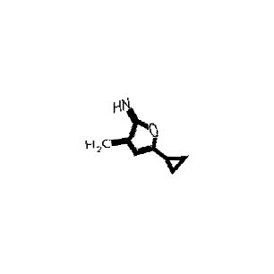 C=C1C=C(C2CC2)OC1=N